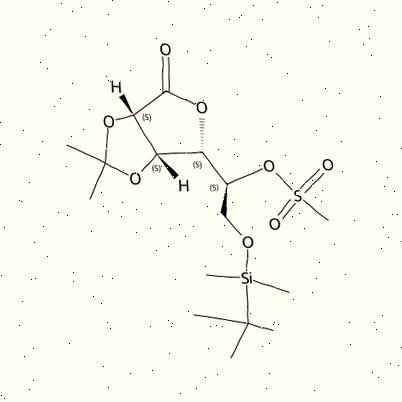 CC1(C)O[C@H]2[C@@H]([C@H](CO[Si](C)(C)C(C)(C)C)OS(C)(=O)=O)OC(=O)[C@H]2O1